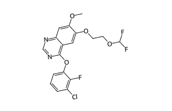 COc1cc2ncnc(Oc3cccc(Cl)c3F)c2cc1OCCOC(F)F